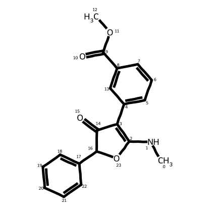 CNC1=C(c2cccc(C(=O)OC)c2)C(=O)C(c2ccccc2)O1